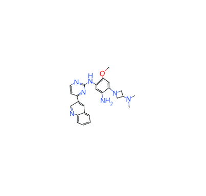 COc1cc(N2CC(N(C)C)C2)c(N)cc1Nc1nccc(-c2cnc3ccccc3c2)n1